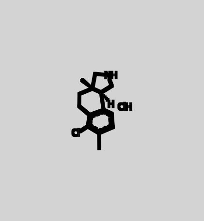 Cc1ccc2c(c1Cl)CC[C@]1(C)CNC[C@@H]21.Cl